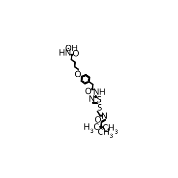 CC(C)(C)c1cnc(CSc2cnc(NC(=O)Cc3ccc(OCCCCC(=O)NO)cc3)s2)o1